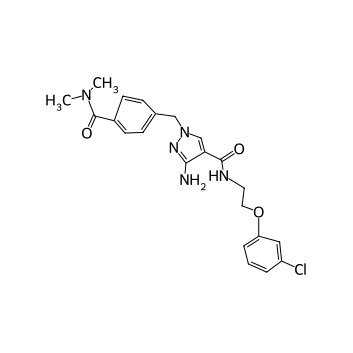 CN(C)C(=O)c1ccc(Cn2cc(C(=O)NCCOc3cccc(Cl)c3)c(N)n2)cc1